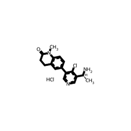 C[C@@H](N)c1cncc(-c2ccc3c(c2)CCC(=O)N3C)c1Cl.Cl